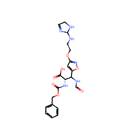 O=CNC(c1cc(OCCNC2N=CCN2)no1)[C@H](NC(=O)OCc1ccccc1)C(=O)O